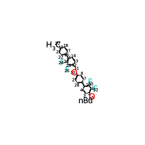 CCCCOc1ccc(-c2ccc(OCc3ccc(-c4ccc(C)cc4)c(F)c3F)cc2)c(F)c1F